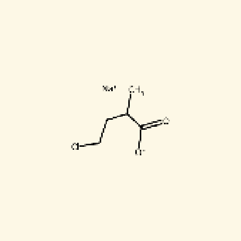 CC(CCCl)C(=O)[O-].[Na+]